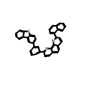 c1cc(-c2ccc3sc4ccccc4c3c2)cc(-c2ccc3ccc4ccc(-c5cccc6ccccc56)nc4c3n2)c1